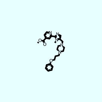 COC(=O)c1ccnc(-c2ncc(CN3CCN(CCCOc4ccccc4)CC3)n2C)c1